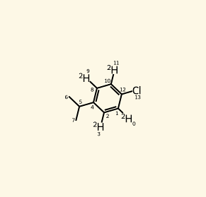 [2H]c1c([2H])c(C(C)C)c([2H])c([2H])c1Cl